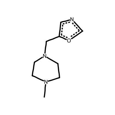 CN1CCN(Cc2cnco2)CC1